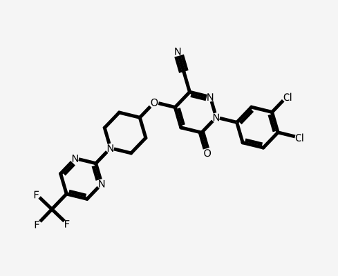 N#Cc1nn(-c2ccc(Cl)c(Cl)c2)c(=O)cc1OC1CCN(c2ncc(C(F)(F)F)cn2)CC1